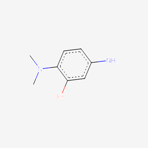 CN(C)c1ccc(N)cc1O